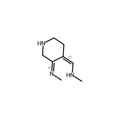 C/N=C1/CNCC/C1=C/NC